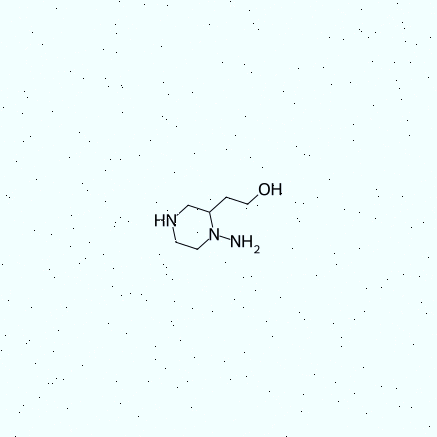 NN1CCNCC1CCO